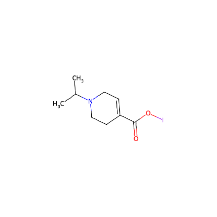 CC(C)N1CC=C(C(=O)OI)CC1